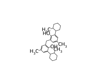 Cc1cc(Cc2cc(C)cc(C3CCCCC3C)c2O)c(O)c(C2CCCCC2C)c1